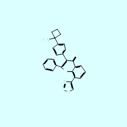 NC1(c2ccc(-c3c(-c4ccccc4)oc4c(-c5c[nH]nn5)cccc4c3=O)cc2)CCC1